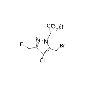 CCOC(=O)Cn1nc(CF)c(Cl)c1CBr